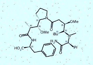 CC[C@H](C)[C@@H]([C@@H](CC(=O)N1CCC[C@H]1[C@H](OC)[C@@H](C)C(=O)N[C@@H](Cc1ccccc1)C(=O)O)OC)N(C)[C@H](C(N)=O)C(C)C